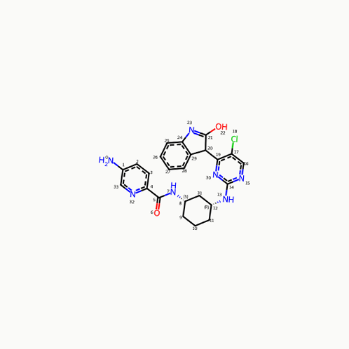 Nc1ccc(C(=O)N[C@H]2CCC[C@@H](Nc3ncc(Cl)c(C4C(O)=Nc5ccccc54)n3)C2)nc1